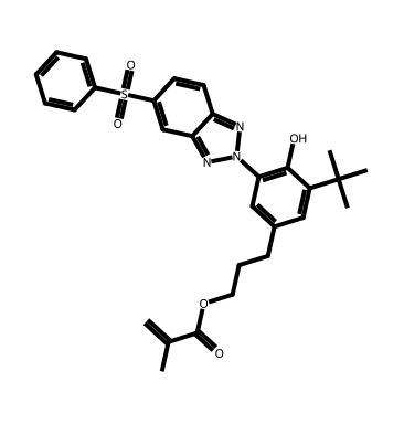 C=C(C)C(=O)OCCCc1cc(-n2nc3ccc(S(=O)(=O)c4ccccc4)cc3n2)c(O)c(C(C)(C)C)c1